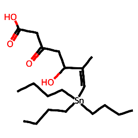 CCC[CH2][Sn]([CH]=C(C)C(O)CC(=O)CC(=O)O)([CH2]CCC)[CH2]CCC